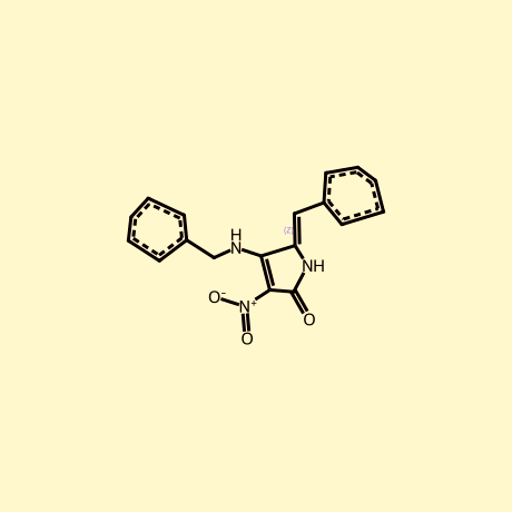 O=C1N/C(=C\c2ccccc2)C(NCc2ccccc2)=C1[N+](=O)[O-]